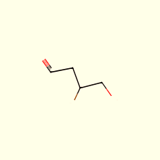 O=CCC(S)CO